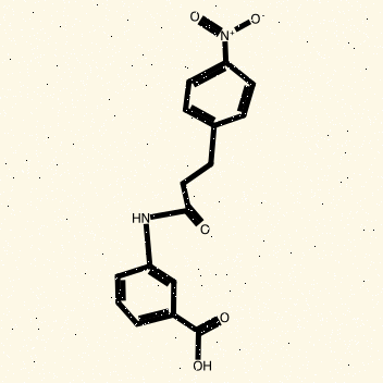 O=C(CCc1ccc([N+](=O)[O-])cc1)Nc1cccc(C(=O)O)c1